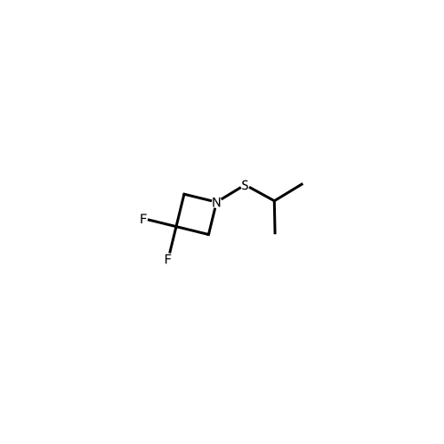 CC(C)SN1CC(F)(F)C1